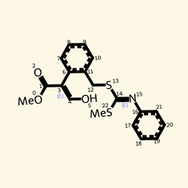 COC(=O)/C(=C/O)c1ccccc1CS/C(=N/c1ccccc1)SC